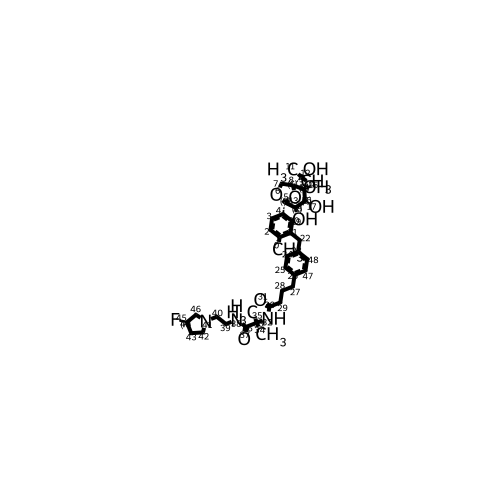 Cc1ccc([C@]23OC[C@](C(C)(C)O)(O2)[C@@H](O)[C@H](O)[C@H]3O)cc1Cc1ccc(CCCC(=O)NC(C)(C)C(=O)NCCN2CC[C@@H](F)C2)cc1